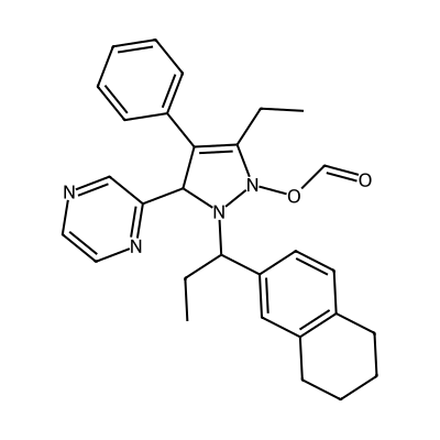 CCC1=C(c2ccccc2)C(c2cnccn2)N(C(CC)c2ccc3c(c2)CCCC3)N1OC=O